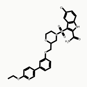 CCOc1ccc(-c2cccc(OCC3CN(S(=O)(=O)c4c(C(N)=O)[nH]c5ccc(Cl)cc45)CCO3)c2)cn1